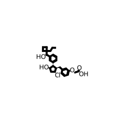 CCCC1(C(O)c2cccc([C@@H]3[C@@H](Cc4cccc(OCC(=O)O)c4)[C@H](Cl)C[C@H]3O)c2)CCC1